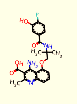 Cc1nc2cccc(OCC(C)(C)NC(=O)c3ccc(F)c(O)c3)c2c(N)c1C(=O)O